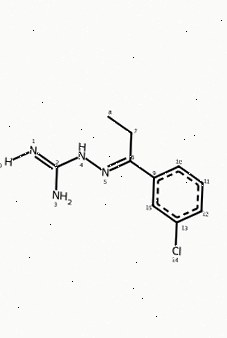 [H]/N=C(\N)NN=C(CC)c1cccc(Cl)c1